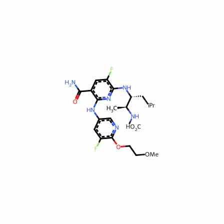 COCCOc1ncc(Nc2nc(N[C@H](CC(C)C)[C@H](C)NC(=O)O)c(F)cc2C(N)=O)cc1F